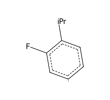 CC(C)c1cc[c]cc1F